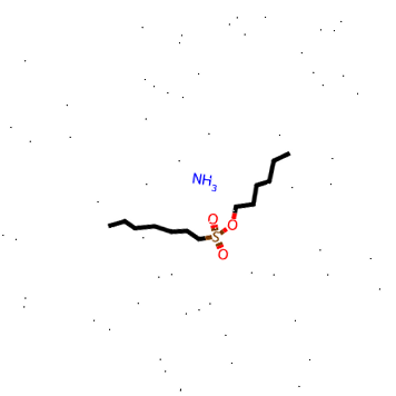 CCCCCCCS(=O)(=O)OCCCCCC.N